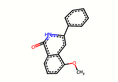 COc1cccc2c(=O)[nH]c(-c3ccccc3)cc12